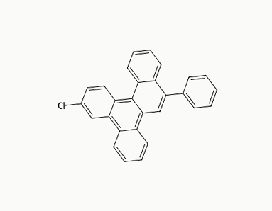 Clc1ccc2c(c1)c1ccccc1c1cc(-c3ccccc3)c3ccccc3c21